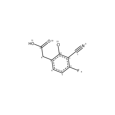 N#Cc1c(F)ccc(CC(=O)O)c1Cl